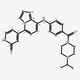 CC(C)N1CCN(C(=O)c2ccc(Nc3ccc(-c4cc[nH]c(=O)c4)n4ccnc34)cc2)CC1